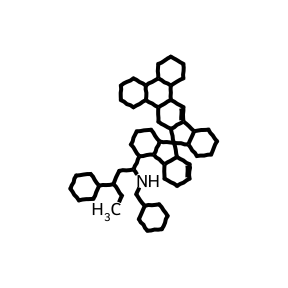 CCC(CC(NCC1CCCCC1)C1CCCC2C1C1CCC=CC1C21C2CC3C(C=C2C2CCCCC21)C1CCCCC1C1CCCCC31)C1CCCCC1